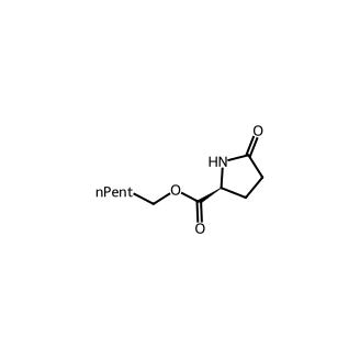 CCCCCCOC(=O)[C@@H]1CCC(=O)N1